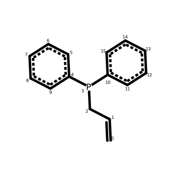 C=CCP(c1ccccc1)c1ccccc1